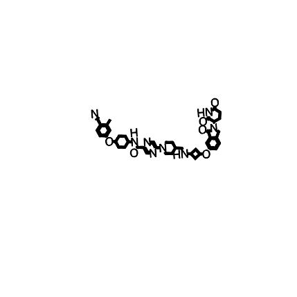 Cc1cc(OC2CCC(NC(=O)c3cnc(N4CCC(CNC5CC(Oc6ccc7c(c6)C(=O)N([C@@H]6CCC(=O)NC6=O)C7)C5)CC4)cn3)CC2)ccc1C#N